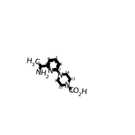 CC(N)c1cccc(N2CCN(C(=O)O)CC2)n1